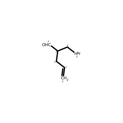 C=CCC(C=O)CCCC